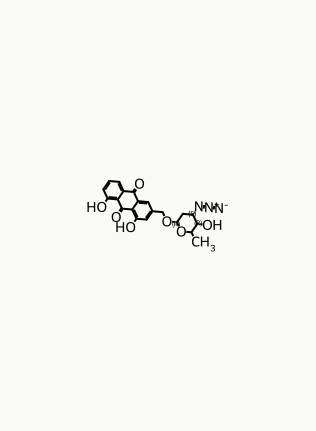 CC1O[C@@H](OCc2cc(O)c3c(c2)C(=O)c2cccc(O)c2C3=O)C[C@H](N=[N+]=[N-])[C@H]1O